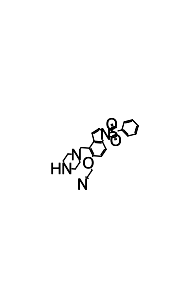 N#CCOc1ccc2c(ccn2S(=O)(=O)c2ccccc2)c1CN1CCNCC1